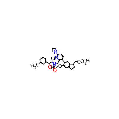 COc1cc2c(cc1-c1ccc(N3CCC3)nc1CN1C(=O)OC(c3cccc(C)c3)C1C)C(CC(=O)O)CC2